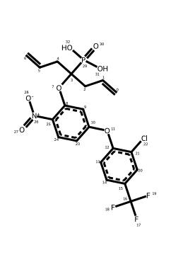 C=CCC(CC=C)(Oc1cc(Oc2ccc(C(F)(F)F)cc2Cl)ccc1[N+](=O)[O-])P(=O)(O)O